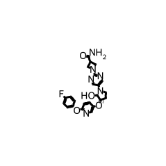 NC(=O)C1CN(c2ncc(N3CC[C@@H](Oc4ccc(Oc5ccc(F)cc5)nc4)C3O)cn2)C1